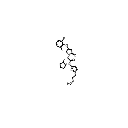 O=C(Nc1ccn(CCCO)n1)[C@H](CC1CCCC1)N1CC(Oc2c(F)cccc2F)=CC1=O